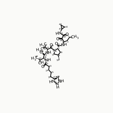 CCCC(NC(=O)[C@@H]1CC(I)CN1C(=O)[C@@H](NC(=O)[C@@H](NC(=O)CCCCC1=NNNN1)C(C)C)C(C)C)C(=O)C(=O)NC1CC1